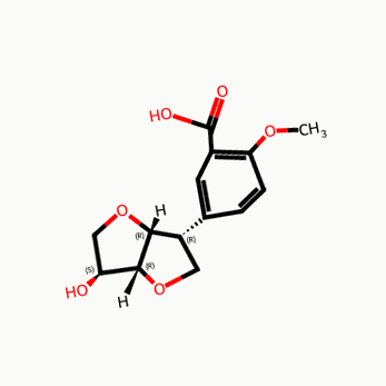 COc1ccc([C@@H]2CO[C@H]3[C@@H]2OC[C@@H]3O)cc1C(=O)O